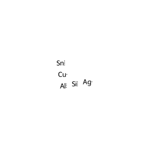 [Ag].[Al].[Cu].[Si].[Sn]